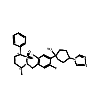 C[C@H]1CC[C@@H](c2ccccc2)S(=O)(=O)N1Cc1cc(F)c(C2(O)CCC(n3cnnc3)CC2)cc1F